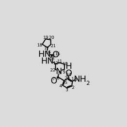 Nc1cccc(C(=O)N2CCCC(NC(=O)NC3CCCC3)C2)c1O